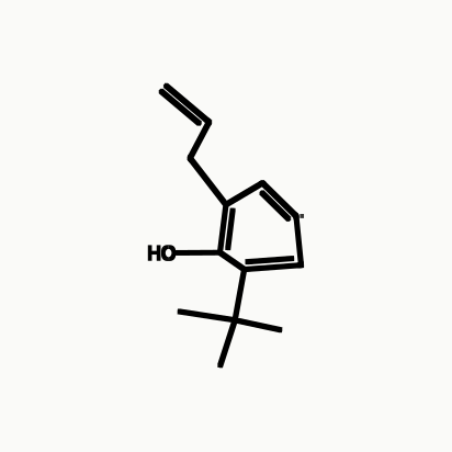 C=CCc1c[c]cc(C(C)(C)C)c1O